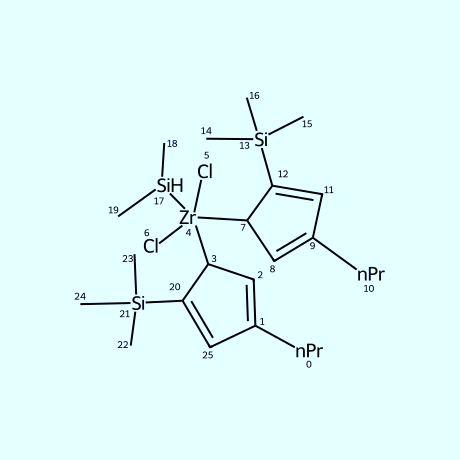 CCCC1=C[CH]([Zr]([Cl])([Cl])([CH]2C=C(CCC)C=C2[Si](C)(C)C)[SiH](C)C)C([Si](C)(C)C)=C1